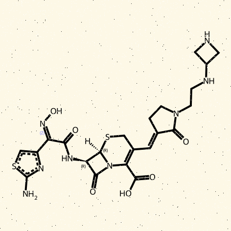 Nc1nc(/C(=N/O)C(=O)N[C@@H]2C(=O)N3C(C(=O)O)=C(C=C4CCN(CCNC5CNC5)C4=O)CS[C@H]23)cs1